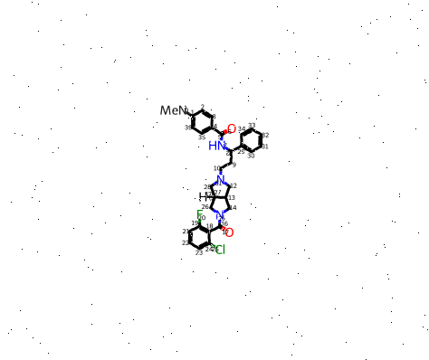 CNc1ccc(C(=O)NC(CCN2CC3CN(C(=O)c4c(F)cccc4Cl)C[C@@H]3C2)c2ccccc2)cc1